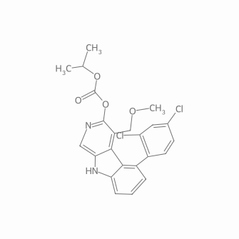 COCc1c(OC(=O)OC(C)C)ncc2[nH]c3cccc(-c4ccc(Cl)cc4Cl)c3c12